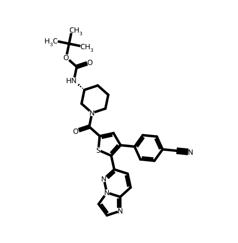 CC(C)(C)OC(=O)N[C@@H]1CCCN(C(=O)c2cc(-c3ccc(C#N)cc3)c(-c3ccc4nccn4n3)s2)C1